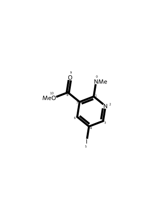 CNc1ncc(I)cc1C(=O)OC